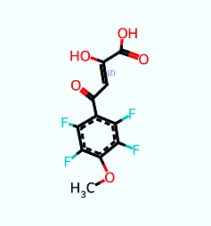 COc1c(F)c(F)c(C(=O)/C=C(\O)C(=O)O)c(F)c1F